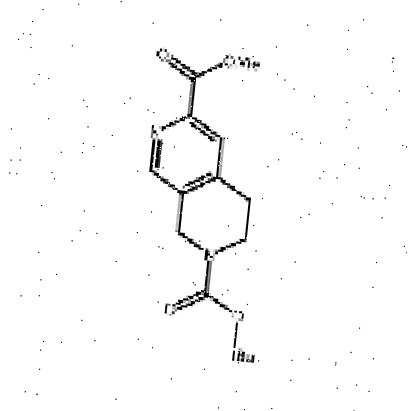 COC(=O)c1cc2c(cn1)CN(C(=O)OC(C)(C)C)CC2